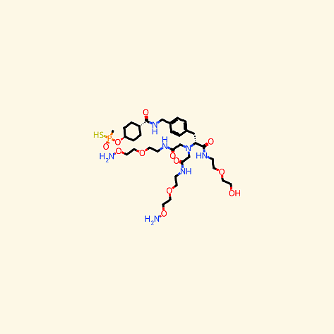 CP(=O)(S)O[C@H]1CC[C@H](C(=O)NCc2ccc(C[C@H](C(=O)NCCOCCO)N(CC(=O)NCCOCCON)CC(=O)NCCOCCON)cc2)CC1